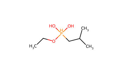 CCO[PH](O)(O)CC(C)C